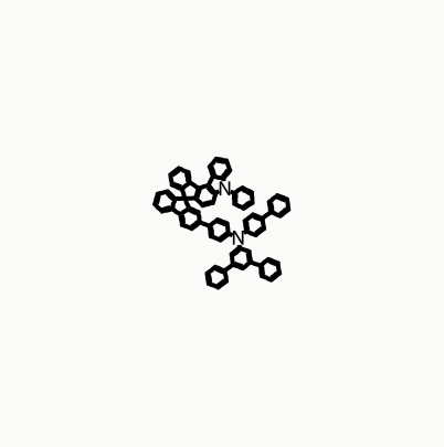 c1ccc(-c2ccc(N(c3ccc(-c4ccc5c(c4)C4(c6ccccc6-5)c5ccccc5-c5c4ccc4c5c5ccccc5n4-c4ccccc4)cc3)c3cc(-c4ccccc4)cc(-c4ccccc4)c3)cc2)cc1